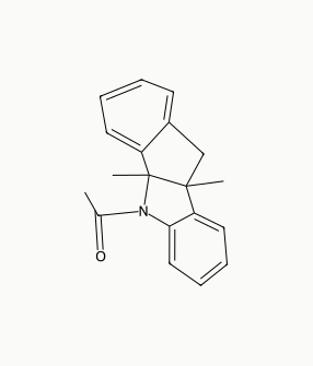 CC(=O)N1c2ccccc2C2(C)Cc3ccccc3C12C